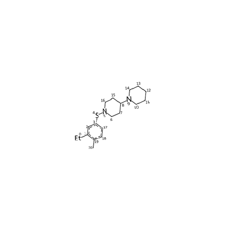 CCc1cc(SN2CCC(N3CCCCC3)CC2)ccc1C